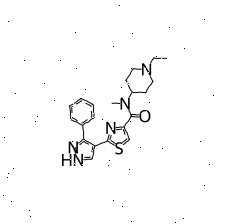 CCN1CCC(N(C)C(=O)c2csc(-c3c[nH]nc3-c3ccccc3)n2)CC1